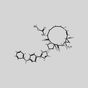 CC(C)(C)OC(=O)N[C@@H]1CCCCC/C=C\[C@@H]2C[C@]2(C(=O)O)NC(=O)[C@@H]2C[C@H](n3nnc(-c4ccc(Oc5ccccc5)cc4)n3)CN2C1=O